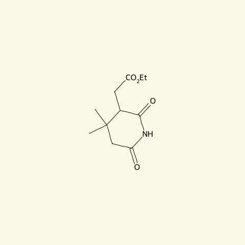 CCOC(=O)CC1C(=O)NC(=O)CC1(C)C